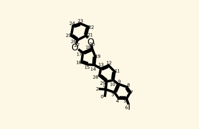 CC1(C)c2cc(I)ccc2-c2ccc(-c3ccc4c(c3)Oc3ccccc3O4)cc21